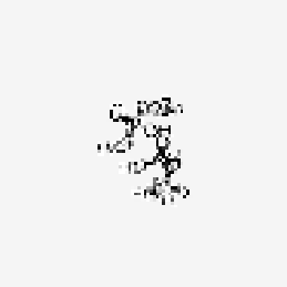 O=P(O)(O)O.O=[PH](O)O[PH](=O)O.[Zn].[Zn]